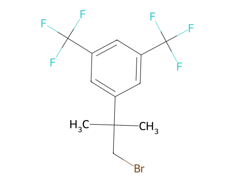 CC(C)(CBr)c1cc(C(F)(F)F)cc(C(F)(F)F)c1